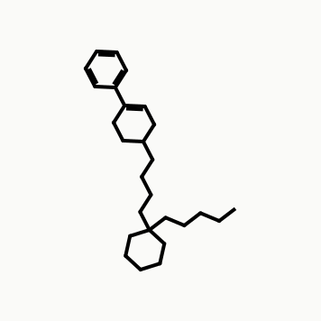 CCCCCC1(CCCCC2CC=C(c3ccccc3)CC2)CCCCC1